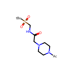 CC(=O)N1CCN(CC(=O)NCS(=O)(=O)C(C)(C)C)CC1